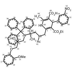 CCOC(=O)C1=C(CN(CC(C)(C)N(CC(O)COc2ccccc2OC)C(c2ccccc2)(c2ccccc2)c2ccccc2)C(C)=O)NC(C)=C(C(=O)O)C1c1cccc([N+](=O)[O-])c1